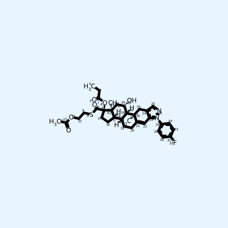 CCC(=O)O[C@]1(C(=O)SCCOC(C)=O)CC[C@H]2[C@@H]3CCC4=Cc5c(cnn5-c5ccc(F)cc5)C[C@]4(C)[C@H]3[C@@H](O)C[C@@]21C